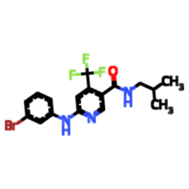 CC(C)CNC(=O)c1cnc(Nc2cccc(Br)c2)cc1C(F)(F)F